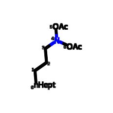 CCCCCCCCCCN(OC(C)=O)OC(C)=O